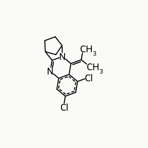 CC(C)=C1c2c(Cl)cc(Cl)cc2N=C2C3CCC(C3)N21